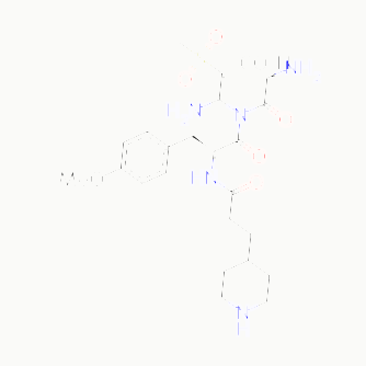 COc1ccc(C[C@H](NC(=O)CCC2CCNCC2)C(=O)N(C(=O)CN)C(N)[C@@H](C(=O)O)S(C)(=O)=O)cc1